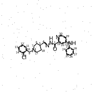 O=C(N/N=C/C1CCN(Cc2ccccc2Cl)CC1)c1cc(Nc2ccccc2)ccn1